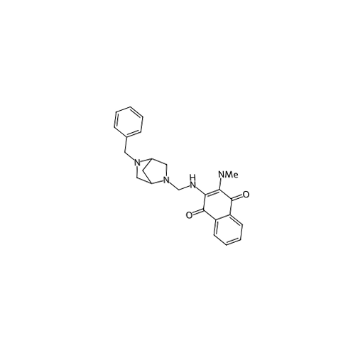 CNC1=C(NCN2CC3CC2CN3Cc2ccccc2)C(=O)c2ccccc2C1=O